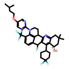 CC(C)CCOc1cnc(N2CCC(c3nc4c(c(C5CCC(F)(F)CC5)c3C(F)c3ccc(C(F)(F)F)cc3)[C@@H](O)CC(C)(C)C4)CC2)nc1